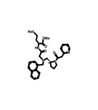 COC(=O)C(CCSC)NC(=O)CN(Cc1cccc2ccccc12)C[C@@H]1CCCN1C(=O)Cc1ccccn1